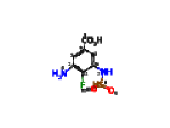 Nc1cc(C(=O)O)cc(N[SH](=O)=O)c1F